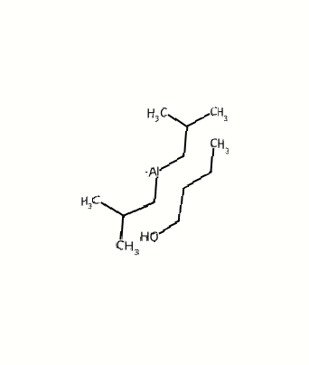 CC(C)[CH2][Al][CH2]C(C)C.CCCCO